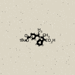 CC(C1CCN(C(=O)OC(C)(C)C)CC1)N1c2ccccc2C(C(=O)O)C1C